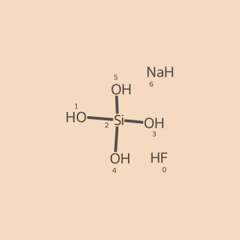 F.O[Si](O)(O)O.[NaH]